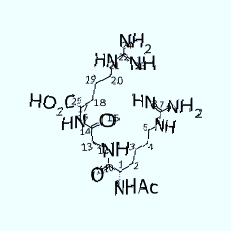 CC(=O)N[C@@H](CCCCNC(=N)N)C(=O)NCC(=O)N[C@@H](CCCNC(=N)N)C(=O)O